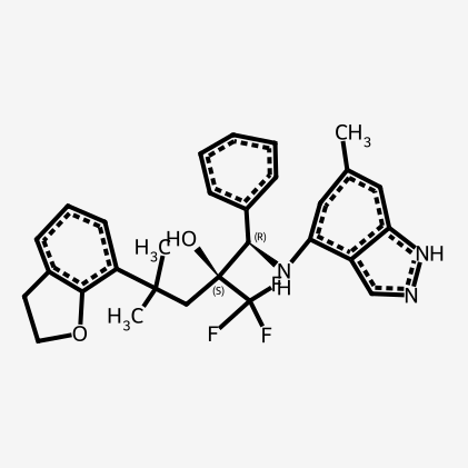 Cc1cc(N[C@H](c2ccccc2)[C@@](O)(CC(C)(C)c2cccc3c2OCC3)C(F)(F)F)c2cn[nH]c2c1